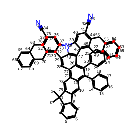 CC1(C)c2ccccc2-c2cc3c(-c4ccccc4)c(-c4ccccc4)c4c(cc5c6c7c(c(C#N)cc6n6c8cc(C#N)c9c(c8c4c56)C4c5ccccc5C9c5ccccc54)C4c5ccccc5C7c5ccccc54)c3cc21